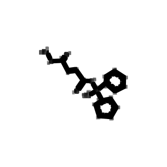 CCCCOC(=O)/C=C/C(=O)O[Si](c1ccccc1)(c1ccccc1)C(C)(C)C